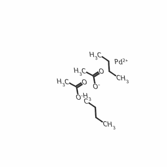 CC(=O)[O-].CC(=O)[O-].CCCC.CCCC.[Pd+2]